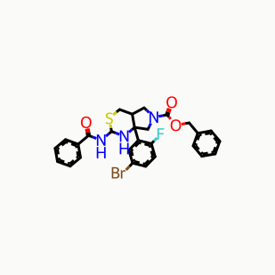 O=C(NC1NC2(c3cc(Br)ccc3F)CN(C(=O)OCc3ccccc3)CC2CS1)c1ccccc1